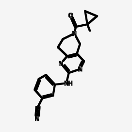 CC1(C(=O)N2CCc3nc(Nc4cccc(C#N)c4)ncc3C2)CC1